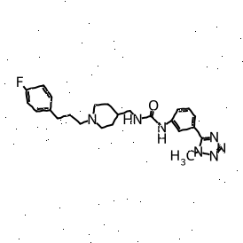 Cn1nnnc1-c1cccc(NC(=O)NCC2CCN(CCCc3ccc(F)cc3)CC2)c1